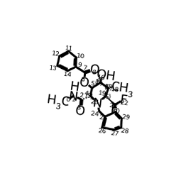 CNC(=O)[C@@H]1C(OC(=O)c2ccccc2)[C@@H](O)[C@H](C)[C@@H](C(F)F)N1Cc1ccccc1